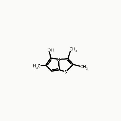 Cc1cc2sc(C)c(C)n2c1O